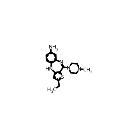 CCc1cc2c(s1)C(N1CCN(C)CC1)=Nc1cc(N)ccc1N2